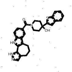 O=C(c1ccc2[nH]c3c(c2c1)CCCc1cn[nH]c1-3)N1CCC(O)(c2cc3ccccc3s2)CC1